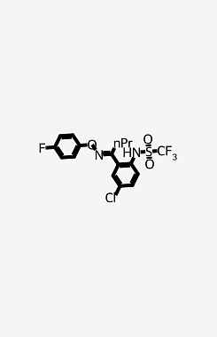 CCC/C(=N\Oc1ccc(F)cc1)c1cc(Cl)ccc1NS(=O)(=O)C(F)(F)F